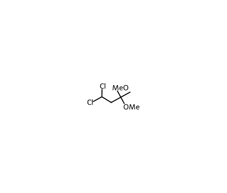 COC(C)(CC(Cl)Cl)OC